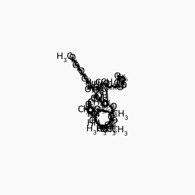 COCCOCCOCCOCCNC(=O)CC[C@H](NC(=O)[C@@H](NC(=O)CCCC(=O)ON1C(=O)CCC1=O)C(C)C)C(=O)NCc1ccc([C@H]2O[C@@H]2[C@@H](C)[C@@H]2C/C=C/C(=O)N[C@H](Cc3ccc(OC)c(Cl)c3)C(=O)NCC(C)(C)C(=O)O[C@@H](CC(C)C)C(=O)O2)cc1